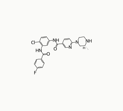 C[C@@H]1CN(c2ccc(C(=O)Nc3ccc(Cl)c(NC(=O)c4ccc(F)cc4)c3)cn2)CCN1